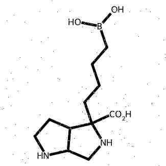 O=C(O)C1(CCCCB(O)O)NCC2NCCC21